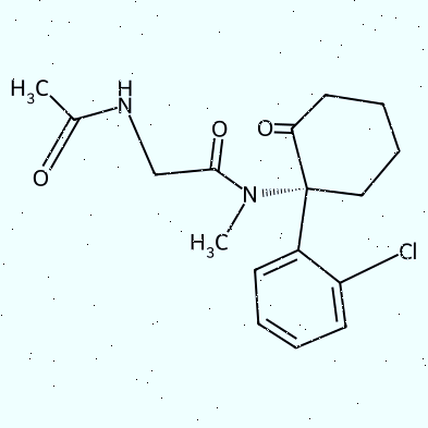 CC(=O)NCC(=O)N(C)[C@@]1(c2ccccc2Cl)CCCCC1=O